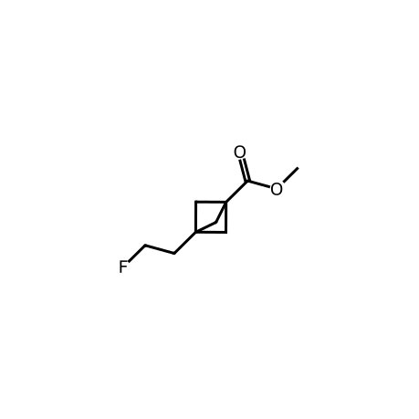 COC(=O)C12CC(CCF)(C1)C2